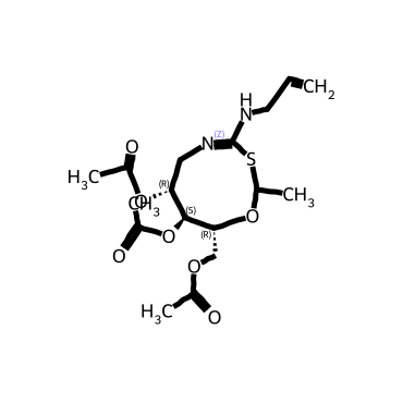 C=CCN/C1=N/C[C@@H](OC(C)=O)[C@H](OC(C)=O)[C@@H](COC(C)=O)OC(C)S1